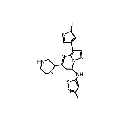 Cc1cc(Nc2cc(C3CNCCS3)nc3c(-c4cnn(I)c4)cnn23)sn1